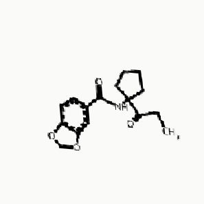 CCC(=O)C1(NC(=O)c2ccc3c(c2)OCO3)CCCC1